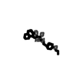 CCCOc1ccc(/C=N/NC(=O)c2cc3c(ccc4ccccc43)o2)cc1